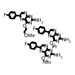 CC(C)Oc1nc(N)nc2ncc(-c3ccc(F)cc3)nc12.CCCCOc1nc(N)nc2ncc(-c3ccc(F)cc3)nc12.COCCOc1nc(N)nc2ncc(-c3ccc(F)cc3)nc12